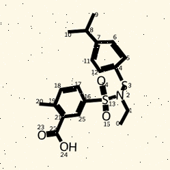 CCN(Sc1ccc(C(C)C)cc1)S(=O)(=O)c1ccc(C)c(C(=O)O)c1